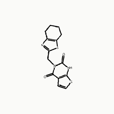 O=c1[nH]c2sccc2c(=O)n1Cc1nc2c(s1)CCCC2